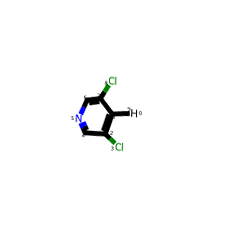 [2H]c1c(Cl)cncc1Cl